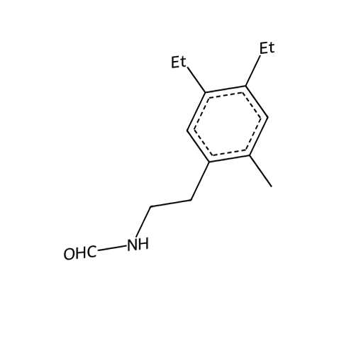 CCc1cc(C)c(CCNC=O)cc1CC